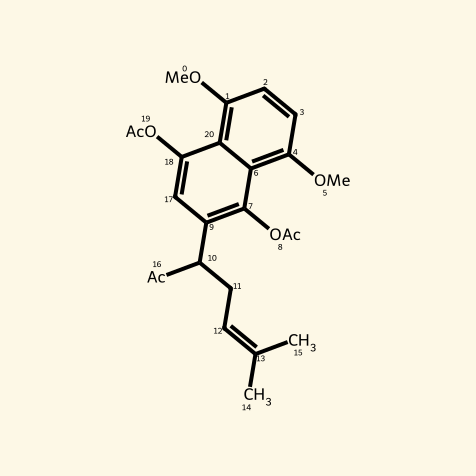 COc1ccc(OC)c2c(OC(C)=O)c(C(CC=C(C)C)C(C)=O)cc(OC(C)=O)c12